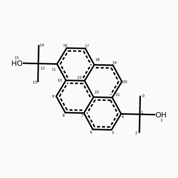 CC(C)(O)c1ccc2ccc3c(C(C)(C)O)ccc4ccc1c2c43